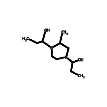 CCC(O)N1CCN(C(O)CC)C(C)C1